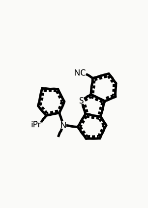 CC(C)c1ccccc1N(C)c1cccc2c1sc1c(C#N)cccc12